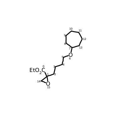 CCOC(=O)C1(CCCCOC2CCCCCC2)CO1